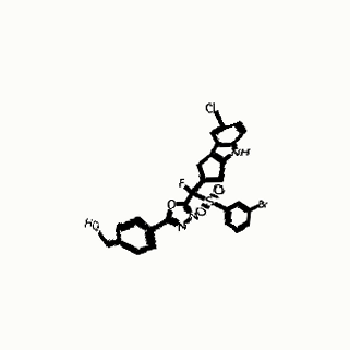 O=S(=O)(c1cccc(Br)c1)C(F)(c1nnc(-c2ccc(CO)cc2)o1)C1Cc2[nH]c3ccc(Cl)cc3c2C1